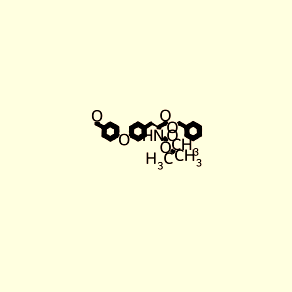 CC(C)(C)OC(=O)N[C@@H](Cc1ccc(Oc2ccc(C=O)cc2)cc1)C(=O)OCc1ccccc1